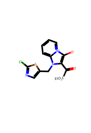 CCOC(=O)C(=O)c1c([O-])[n+]2ccccc2n1Cc1cnc(Cl)s1